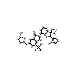 Cn1cnnc1[C@@H](F)C1(c2cccc(N3Cc4c(cc(CN5CC[C@@H](F)C5)cc4C(F)(F)F)C3=O)c2)COC1